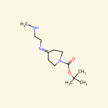 CNCCN=C1CCN(C(=O)OC(C)(C)C)CC1